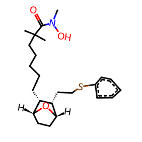 CN(O)C(=O)C(C)(C)CCCCC[C@@H]1[C@H](CCSc2ccccc2)[C@@H]2CC[C@H]1O2